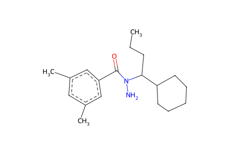 CCCC(C1CCCCC1)N(N)C(=O)c1cc(C)cc(C)c1